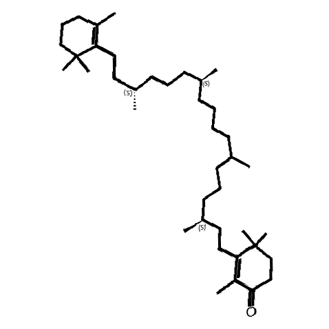 CC1=C(CC[C@@H](C)CCC[C@@H](C)CCCCC(C)CCC[C@H](C)CCC2=C(C)C(=O)CCC2(C)C)C(C)(C)CCC1